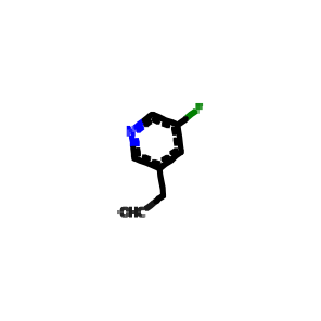 O=[C]Cc1cncc(F)c1